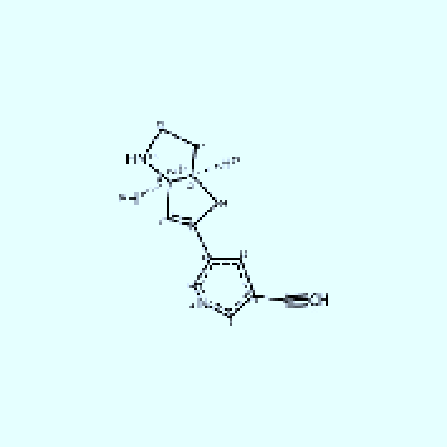 C#Cc1cncc(C2=C[C@H]3NCC[C@H]3C2)c1